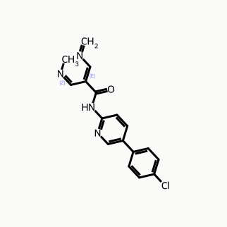 C=N/C=C(\C=N/C)C(=O)Nc1ccc(-c2ccc(Cl)cc2)cn1